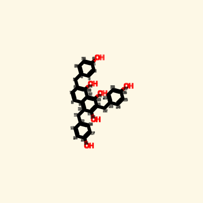 Oc1ccc(Cc2ccc3c(Cc4ccc(O)cc4)c(O)c(Cc4ccc(O)cc4)c(O)c3c2O)cc1